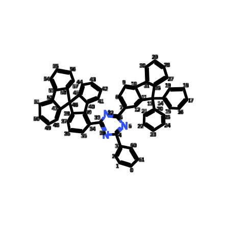 c1ccc(-c2nc(-c3ccc4c(c3)C(c3ccccc3)(c3ccccc3)c3ccccc3-4)nc(-c3cccc4c3-c3ccccc3C43c4ccccc4-c4ccccc43)n2)cc1